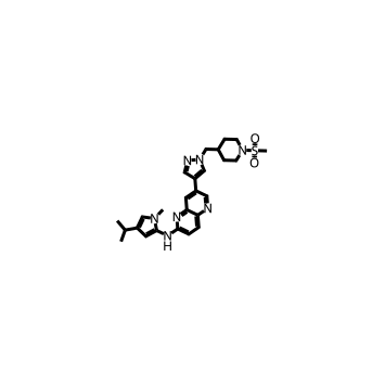 CC(C)c1cc(Nc2ccc3ncc(-c4cnn(CC5CCN(S(C)(=O)=O)CC5)c4)cc3n2)n(C)c1